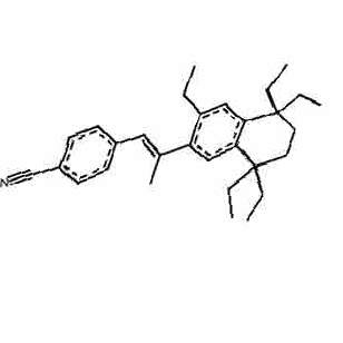 CCc1cc2c(cc1C(C)=Cc1ccc(C#N)cc1)C(CC)(CC)CCC2(CC)CC